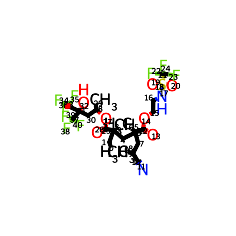 CCC(C)(CC(C)(CC(C)C#N)C(=O)OCCNS(=O)(=O)C(F)(F)F)C(=O)OC(C)CC(O)(C(F)(F)F)C(F)(F)F